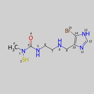 CN(S)C(=O)NCCNCc1nc[nH]c1Br